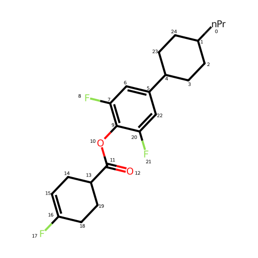 CCCC1CCC(c2cc(F)c(OC(=O)C3CC=C(F)CC3)c(F)c2)CC1